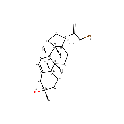 C=C(CBr)[C@H]1CC[C@H]2[C@@H]3CC=C4C[C@@](C)(O)CC[C@@H]4[C@H]3CC[C@]12C